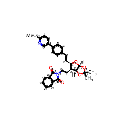 COc1ccc(-c2ccc(/C=C/[C@H]3O[C@H]4OC(C)(C)O[C@H]4[C@H]3CCN3C(=O)c4ccccc4C3=O)cc2)cn1